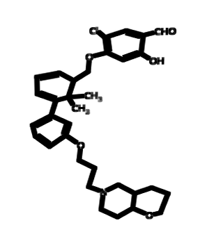 CC1(C)C(c2cccc(OCCCN3CCC4OCCCC4C3)c2)=CC=CC1COc1cc(O)c(C=O)cc1Cl